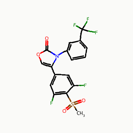 CS(=O)(=O)c1c(F)cc(-c2coc(=O)n2-c2cccc(C(F)(F)F)c2)cc1F